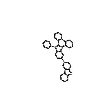 c1ccc(-c2c3ccc(-c4ccc5oc6ccccc6c5c4)cc3n3c4ccccc4c4ccccc4c23)cc1